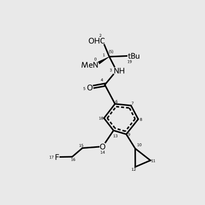 CN[C@](C=O)(NC(=O)c1ccc(C2CC2)c(OCCF)c1)C(C)(C)C